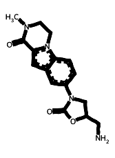 CN1CCn2c(cc3cc(N4CC(CN)OC4=O)ccc32)C1=O